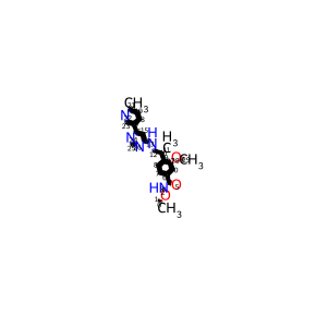 CCONC(=O)c1ccc(C(C)CNc2cc(-c3ccc(C)nc3)ncn2)c(OC)c1